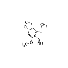 COc1cc(OC)c(C=N)c(OC)c1